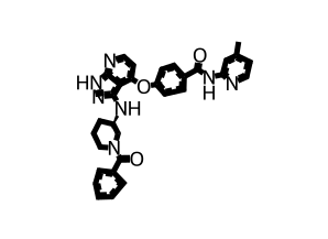 Cc1ccnc(NC(=O)c2ccc(Oc3ccnc4[nH]nc(N[C@@H]5CCCN(C(=O)c6ccccc6)C5)c34)cc2)c1